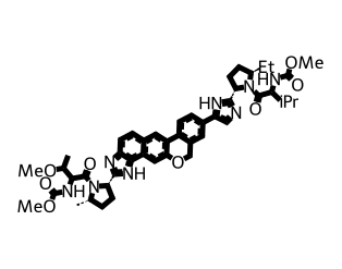 CC[C@H]1CC[C@@H](c2ncc(-c3ccc4c(c3)COc3cc5c(ccc6nc([C@@H]7CC[C@H](C)N7C(=O)C(NC(=O)OC)C(C)OC)[nH]c65)cc3-4)[nH]2)N1C(=O)C(NC(=O)OC)C(C)C